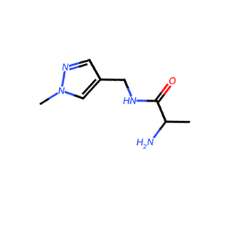 CC(N)C(=O)NCc1cnn(C)c1